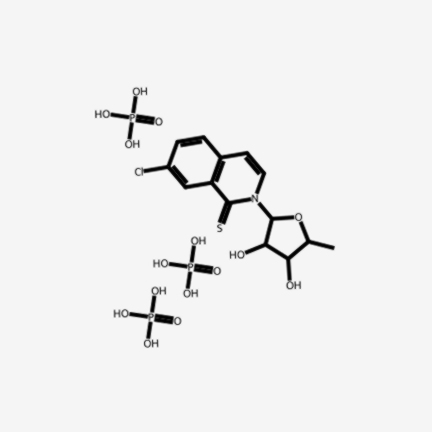 CC1OC(n2ccc3ccc(Cl)cc3c2=S)C(O)C1O.O=P(O)(O)O.O=P(O)(O)O.O=P(O)(O)O